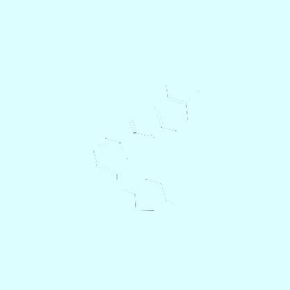 O=C(Nc1ccc(F)c(Cl)c1)c1ccc(F)c(SC2CCC(O)CC2)c1